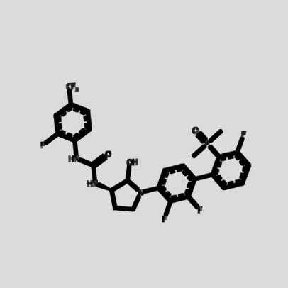 CP(C)(=O)c1c(F)cccc1-c1ccc(N2CC[C@@H](NC(=O)Nc3ccc(C(F)(F)F)cc3F)C2O)c(F)c1F